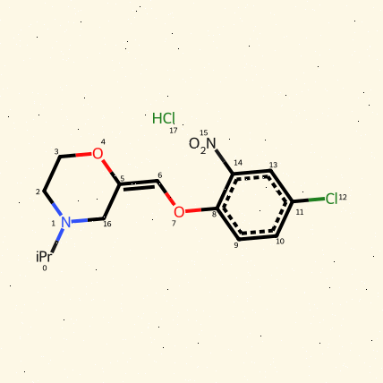 CC(C)N1CCOC(=COc2ccc(Cl)cc2[N+](=O)[O-])C1.Cl